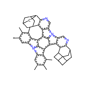 Cc1cc2c(c(C)c1C)c1c3c4c5c(ncc4n4c6cnc7c(c6c(c6c8c(C)c(C)c(C)cc8n2c16)c34)C1CC2CC3CC7CC321)C1CC2CC5CC1C2